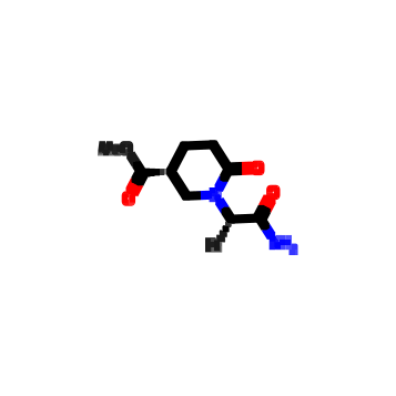 CC[C@@H](C(N)=O)N1C[C@H](C(=O)OC)CCC1=O